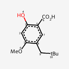 COc1cc(O)c(C(=O)O)cc1CC(C)(C)C